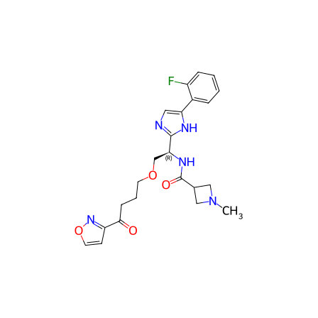 CN1CC(C(=O)N[C@@H](COCCCC(=O)c2ccon2)c2ncc(-c3ccccc3F)[nH]2)C1